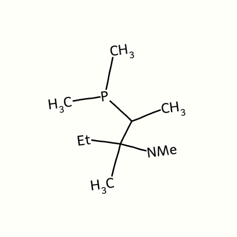 CCC(C)(NC)C(C)P(C)C